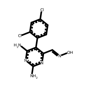 Nc1nc(N)c(-c2ccc(Cl)cc2Cl)c(C=NO)n1